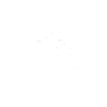 CC(C)C[C@H](NC(=O)Nc1cc(Cl)cc(Cl)c1)C(=O)N[C@@H](Cc1ccc(OCc2ccccc2)cc1)C(=O)OC(C)(C)C